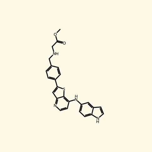 COC(=O)CNCc1ccc(-c2cc3nccc(Nc4ccc5[nH]ccc5c4)c3s2)cc1